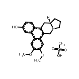 COc1cc2c3c(c4ccc(O)cc4c2cc1OC)C[C@@H]1CCCN1C3.CS(=O)(=O)O